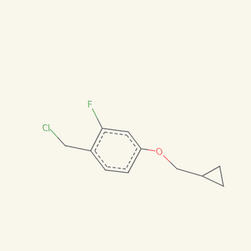 Fc1cc(OCC2CC2)ccc1CCl